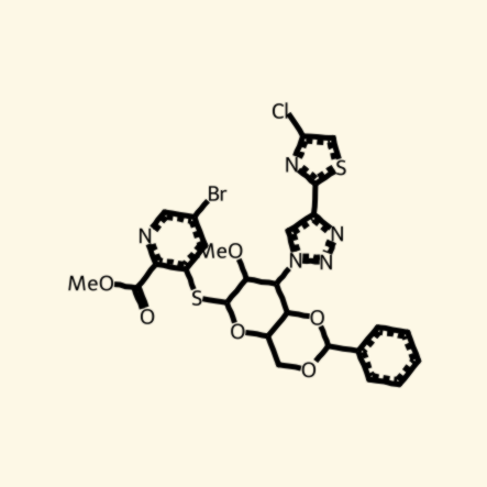 COC(=O)c1ncc(Br)cc1SC1OC2COC(c3ccccc3)OC2C(n2cc(-c3nc(Cl)cs3)nn2)C1OC